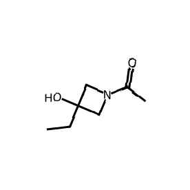 CCC1(O)CN(C(C)=O)C1